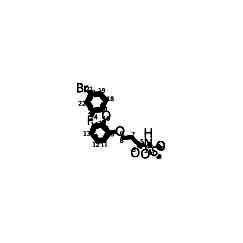 CS(=O)(=O)NC(=O)CCOc1ccccc1Oc1ccc(Br)cc1F